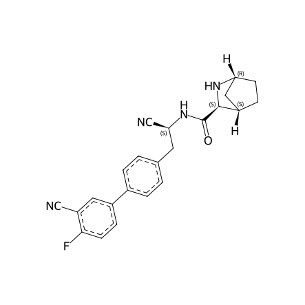 N#Cc1cc(-c2ccc(C[C@@H](C#N)NC(=O)[C@H]3N[C@@H]4CC[C@H]3C4)cc2)ccc1F